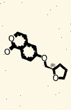 O=c1occc2cc(OC[C@H]3CCCO3)ccc12